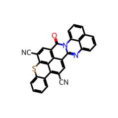 N#Cc1cc2c(=O)n3c4cccc5cccc(nc3c3cc(C#N)c6c(c1Sc1ccccc1-6)c23)c54